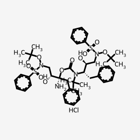 CC(C)(C)ON(C[C@@H](O)[C@](N)(Cc1ccccc1)OC(=O)N([C@@H](Cc1ccccc1)[C@@H](O)CN(OC(C)(C)C)S(=O)(=O)c1ccccc1)C(C)(C)C)S(=O)(=O)c1ccccc1.Cl